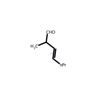 CCC/C=C/C(C)C=O